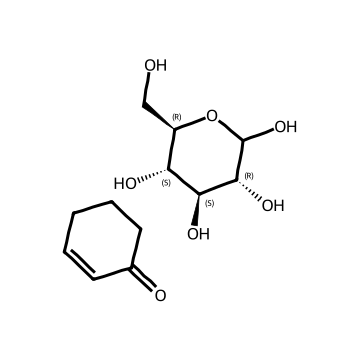 O=C1C=CCCC1.OC[C@H]1OC(O)[C@H](O)[C@@H](O)[C@@H]1O